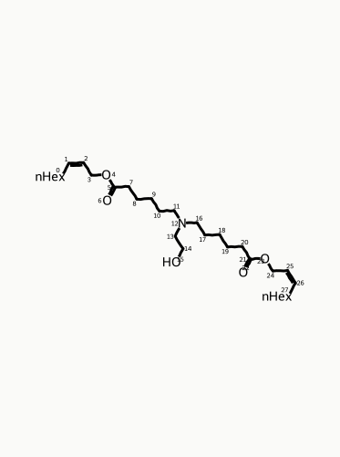 CCCCCC/C=C\COC(=O)CCCCCN(CCO)CCCCCC(=O)OC/C=C\CCCCCC